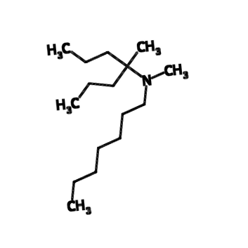 CCCCCCCN(C)C(C)(CCC)CCC